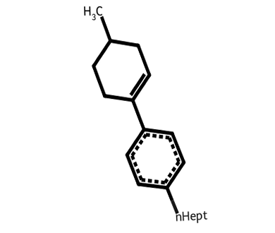 CCCCCCCc1ccc(C2=CCC(C)CC2)cc1